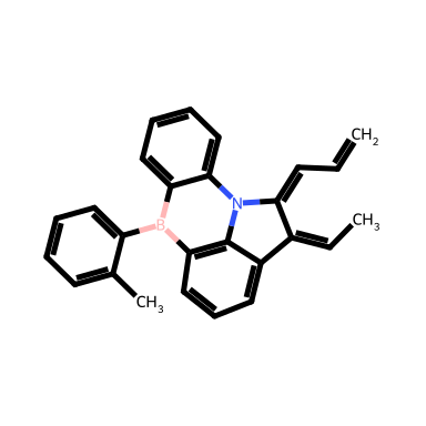 C=C/C=c1\c(=C/C)c2cccc3c2n1-c1ccccc1B3c1ccccc1C